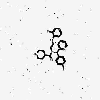 O=C(C1CCNCC1)N(CCOc1ccccc1F)[C@@H](c1ccc(F)cc1)c1ccccn1